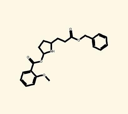 COc1ccccc1C(=O)O[C]1[CH]CC(CCC(=O)OCc2ccccc2)N1